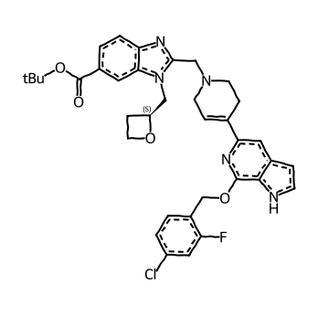 CC(C)(C)OC(=O)c1ccc2nc(CN3CC=C(c4cc5cc[nH]c5c(OCc5ccc(Cl)cc5F)n4)CC3)n(C[C@@H]3CCO3)c2c1